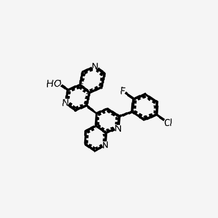 Oc1ncc(-c2cc(-c3cc(Cl)ccc3F)nc3ncccc23)c2ccncc12